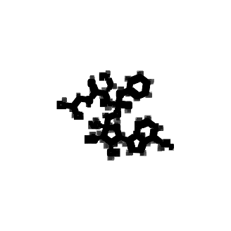 CCC(CC)COC(=O)[C@H](CC(C)C)N[P@](=O)(OC[C@@]1(C#N)O[C@@H](c2ccc3c(N)ncnn23)[C@H](O)[C@@H]1O)Oc1ccccc1